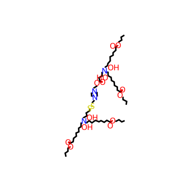 CCCCOC(=O)CCCCCCC(O)CN(CCCCSSCCN1CCN(CCOC(=O)CCCN(CC(O)CCCCCCC(=O)OCCCC)CC(O)CCCCCCC(=O)OCCCC)CC1)CC(O)CCCCCCC(=O)OCCCC